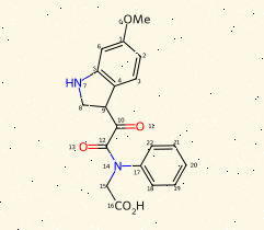 COc1ccc2c(c1)NCC2C(=O)C(=O)N(CC(=O)O)c1ccccc1